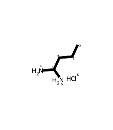 CCCC(N)N.Cl